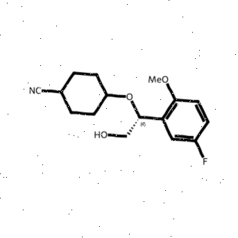 COc1ccc(F)cc1[C@H](CO)OC1CCC(C#N)CC1